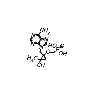 CC1(C)CC1(Cn1cnc2c(N)ncnc21)OCP(=O)(O)O